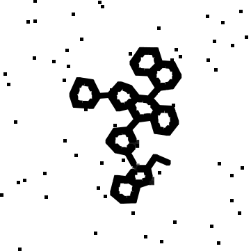 CCc1nc2ccccc2n1-c1cccc(-c2c3ccccc3c(-c3cccc4ccccc34)c3ccc(-c4ccccc4)cc23)n1